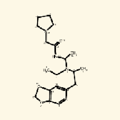 CCN(C(C)Cc1ccc2c(c1)OCO2)C(C)NC(=O)CN1CCCC1